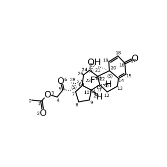 CC(=O)OCC(=O)[C@H]1CC[C@H]2[C@@H]3CCC4=CC(=O)C=C[C@]4(C)[C@@]3(F)[C@@H](O)C[C@]12C